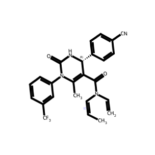 C=CN(/C=C\C)C(=O)C1=C(C)N(c2cccc(C(F)(F)F)c2)C(=O)N[C@@H]1c1ccc(C#N)cc1